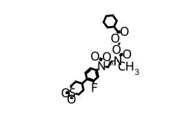 CN(C(=O)OCOC(=O)C1CCCCC1)[C@@H]1CN(c2ccc(C3CCS(=O)(=O)CC3)c(F)c2)C(=O)O1